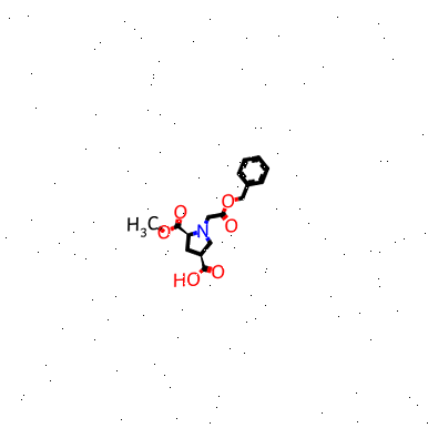 COC(=O)[C@@H]1C[C@H](C(=O)O)CN1CC(=O)OCc1ccccc1